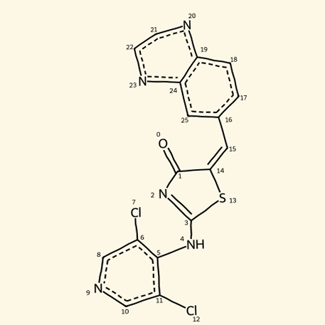 O=C1N=C(Nc2c(Cl)cncc2Cl)SC1=Cc1ccc2nccnc2c1